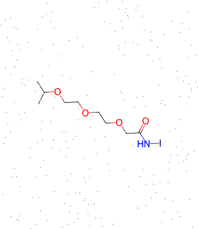 CC(C)OCCOCCOCC(=O)NI